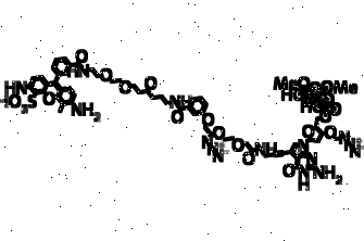 COP(=O)(O)OP(=O)(OC)OP(=O)(O)OCC1OC(n2cc(C#CCNC(=O)COCCOC(COc3cccc(C(=O)NCCCC(=O)CCOCCOCCNC(=O)c4cccc(-c5c6ccc(=N)c(S(=O)(=O)O)c-6oc6c(C)c(N)ccc56)c4)c3)N=[N+]=[N-])c3c(=O)[nH]c(N)nc32)CC1OCN=[N+]=[N-]